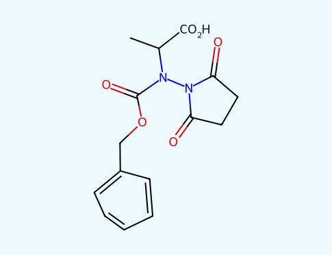 CC(C(=O)O)N(C(=O)OCc1ccccc1)N1C(=O)CCC1=O